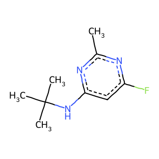 Cc1nc(F)cc(NC(C)(C)C)n1